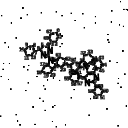 c1ccc(-c2cc(-c3ccccc3)nc(-n3c4ccccc4c4cc(-c5ccc6c(c5)c5ccccc5n6-c5c(-c6ccccc6)nc(-c6ccccc6)nc5-c5ccccc5)ccc43)n2)cc1